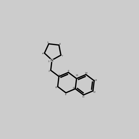 C1=C(CN2CCCC2)CCc2ccccc21